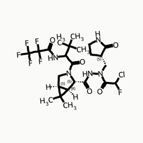 CC(C)(C)C(NC(=O)C(F)(F)C(F)(F)F)C(=O)N1C[C@H]2[C@@H]([C@H]1C(=O)NN(C[C@@H]1CCNC1=O)C(=O)C(F)Cl)C2(C)C